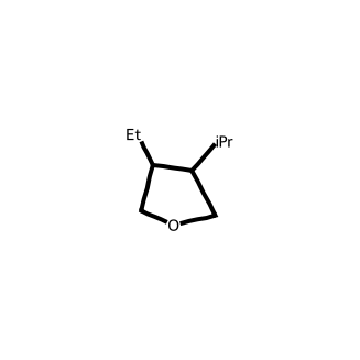 CCC1COCC1C(C)C